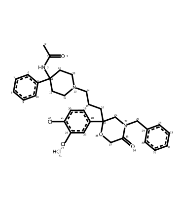 CC(=O)NC1(c2ccccc2)CCN(CCCC2(c3ccc(Cl)c(Cl)c3)CN(Cc3ccccc3)C(=O)CO2)CC1.Cl